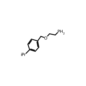 CC(C)c1ccc(COCCP)cc1